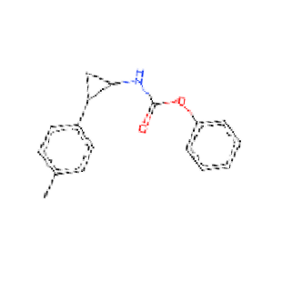 Cc1ccc(C2CC2NC(=O)Oc2ccccc2)cc1